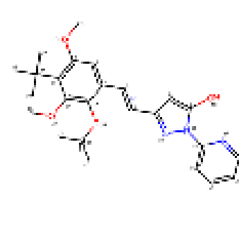 COc1cc(/C=C/c2cc(O)n(-c3ccccn3)n2)c(O[SiH](C)C)c(OC)c1C(C)(C)C